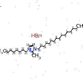 Br.CCCCCCCCCCCCCCCCN1C=CN(CCCCCCCC)C1C